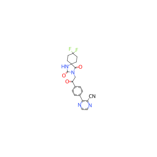 N#Cc1nccnc1-c1ccc(C(=O)CN2C(=O)NC3(CCC(F)(F)CC3)C2=O)cc1